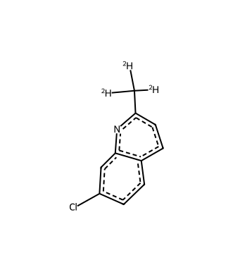 [2H]C([2H])([2H])c1ccc2ccc(Cl)cc2n1